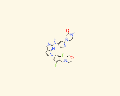 CN1CCN(c2cc(Nc3ncc4ccn(-c5cc(F)c(CN6CCOCC6)c(F)c5)c4n3)ccn2)CC1=O